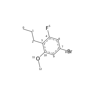 CCCc1c(F)cc(Br)cc1OC